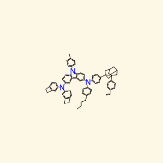 C=Cc1ccc(C23CC4CC(C2)CC(c2ccc(N(c5ccc(CCCC)cc5)c5ccc6c(c5)c5cc(N(c7ccc8c(c7)CC8)c7ccc8c(c7)CC8)ccc5n6-c5ccc(C)cc5)cc2)(C4)C3)cc1